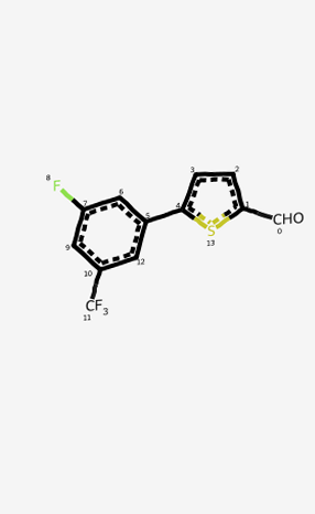 O=Cc1ccc(-c2cc(F)cc(C(F)(F)F)c2)s1